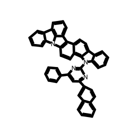 c1ccc(-c2cc(-c3ccc4ccccc4c3)nc(-n3c4ccccc4c4ccc5c(ccc6c5c5cccc7c8ccccc8n6c75)c43)n2)cc1